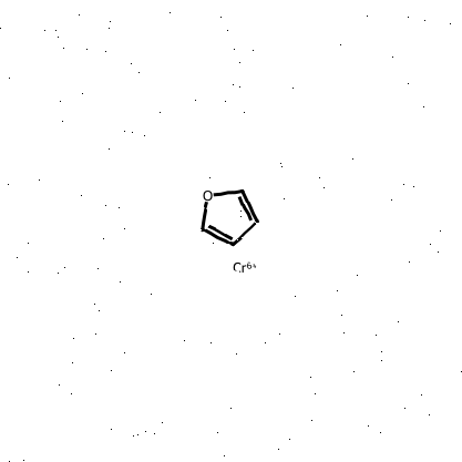 [Cr+6].c1ccoc1